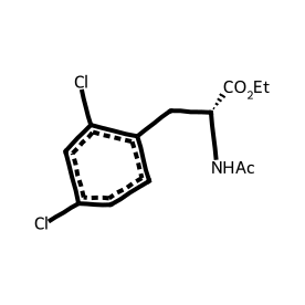 CCOC(=O)[C@@H](Cc1ccc(Cl)cc1Cl)NC(C)=O